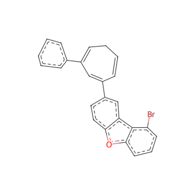 Brc1cccc2oc3ccc(C4=CC(c5ccccc5)=CCC=C4)cc3c12